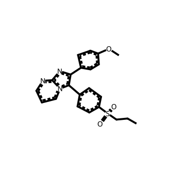 CCCS(=O)(=O)c1ccc(-c2c(-c3ccc(OC)cc3)nc3ncccn23)cc1